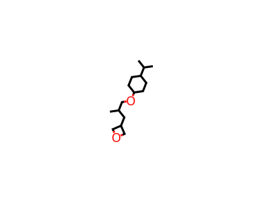 CC(COC1CCC(C(C)C)CC1)CC1COC1